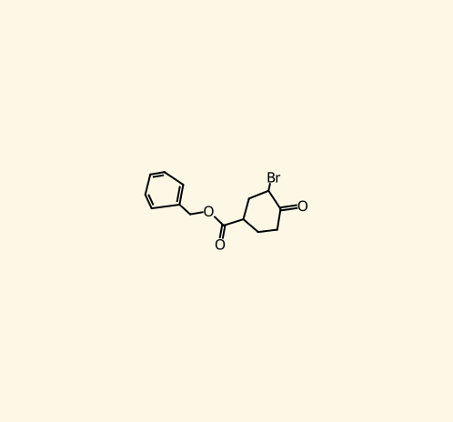 O=C1CCC(C(=O)OCc2ccccc2)CC1Br